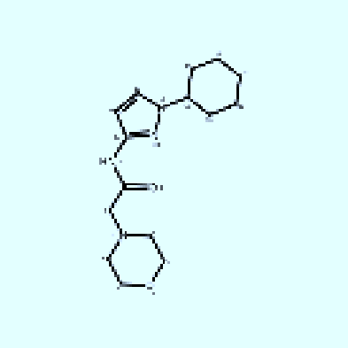 O=C(CN1CCOCC1)Nc1ccn(C2CCCCC2)n1